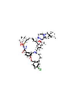 CO[C@]1(CN2CCN(CC(C)(C)C)CC2)/C=C/C[C@H](C)[C@@H](C)S(=O)(=O)NC(=O)c2ccc3c(c2)N(CCCCc2cc(Cl)ccc2CO3)C[C@@H]2CC[C@H]21